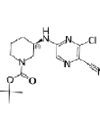 CC(C)(C)OC(=O)N1CCC[C@@H](Nc2cnc(C#N)c(Cl)n2)C1